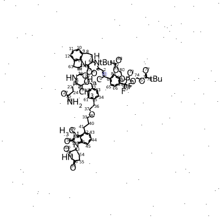 C/C(=C\C(=O)N[C@H]1CCc2cccc3c2N(C1=O)[C@H](C(=O)N[C@@H](CCC(N)=O)[C@@H](C)OCc1ccc(CCOCCCc2cccc4c2n(C)c(=O)n4C2CCC(=O)NC2=O)cc1)C3)c1ccc(C(F)(F)P(=O)(OCOC(=O)C(C)(C)C)OCOC(=O)C(C)(C)C)cc1